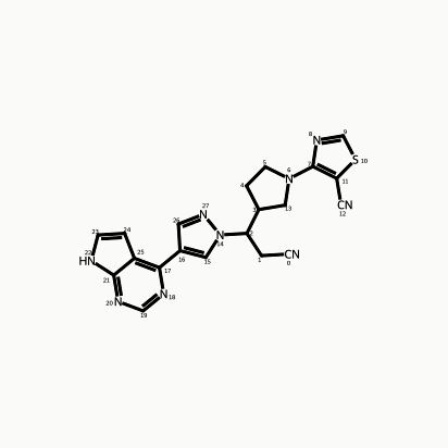 N#CCC(C1CCN(c2ncsc2C#N)C1)n1cc(-c2ncnc3[nH]ccc23)cn1